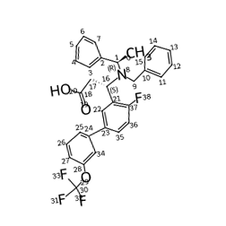 C[C@H](c1ccccc1)N(Cc1ccccc1)[C@@H](CC(=O)O)c1cc(-c2cccc(OC(F)(F)F)c2)ccc1F